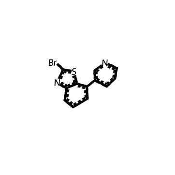 Brc1nc2cccc(-c3cccnc3)c2s1